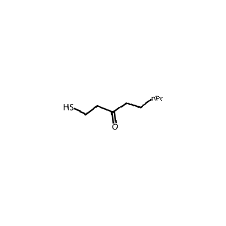 CCCCCC(=O)CCS